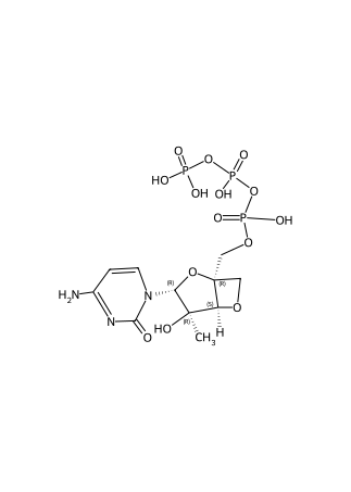 C[C@@]1(O)[C@@H]2OC[C@]2(COP(=O)(O)OP(=O)(O)OP(=O)(O)O)O[C@H]1n1ccc(N)nc1=O